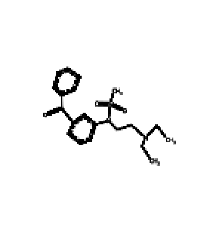 CCN(CC)CCN(c1cccc(C(=O)c2ccccc2)c1)S(C)(=O)=O